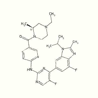 CCN1CCN(C(=O)c2ccc(Nc3ncc(F)c(-c4cc(F)c5nc(C)n(C(C)C)c5c4)n3)nc2)[C@@H](C)C1